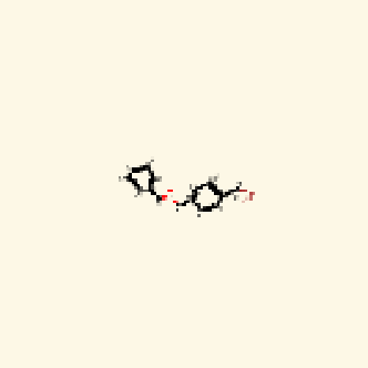 BrCc1ccc(COCc2ccccc2)cc1